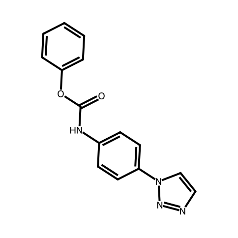 O=C(Nc1ccc(-n2ccnn2)cc1)Oc1ccccc1